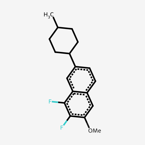 COc1cc2ccc(C3CCC(C)CC3)cc2c(F)c1F